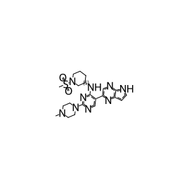 CN1CCN(c2ncc(-c3cnc4[nH]ccc4n3)c(N[C@H]3CCCN(S(C)(=O)=O)C3)n2)CC1